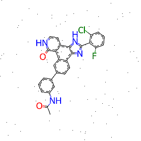 CC(=O)Nc1cccc(-c2ccc3c(c2)c2c(=O)[nH]ccc2c2[nH]c(-c4c(F)cccc4Cl)nc32)c1